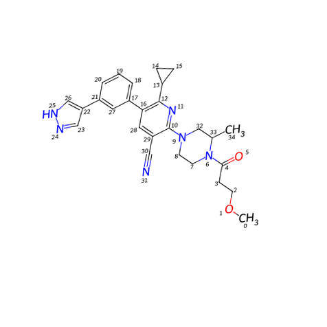 COCCC(=O)N1CCN(c2nc(C3CC3)c(-c3cccc(-c4cn[nH]c4)c3)cc2C#N)CC1C